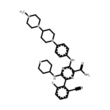 CN1CCN(C2CCN(c3ccc(Nc4nc(NC5CCOCC5)c(-c5c(F)cccc5C#N)nc4C(N)=O)cc3)CC2)CC1